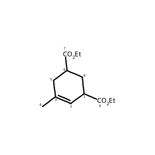 CCOC(=O)C1C=C(C)CC(C(=O)OCC)C1